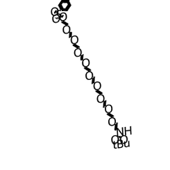 Cc1ccc(S(=O)(=O)OCCOCCOCCOCCOCCOCCOCCOCCOCCOCCNC(=O)OC(C)(C)C)cc1